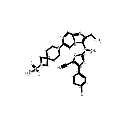 CCc1nc2cnc(N3CCC4(CC3)CN(S(C)(=O)=O)C4)cn2c1N(C)c1nc(-c2ccc(F)cc2)c(C#N)s1